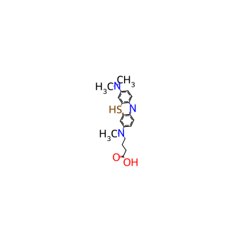 CN(C)c1ccc2c(c1)[SH]=c1cc(N(C)CCCC(=O)O)ccc1=N2